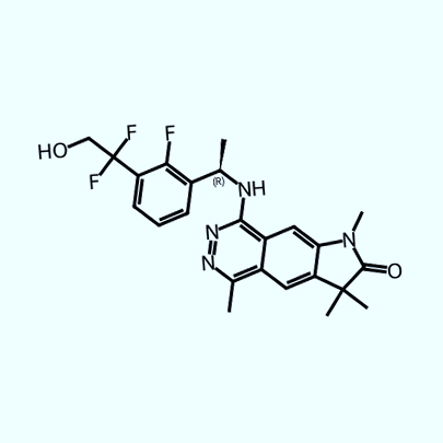 Cc1nnc(N[C@H](C)c2cccc(C(F)(F)CO)c2F)c2cc3c(cc12)C(C)(C)C(=O)N3C